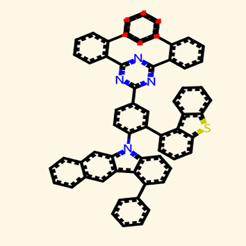 c1ccc(-c2ccccc2-c2nc(-c3ccc(-n4c5cc6ccccc6cc5c5c(-c6ccccc6)cccc54)c(-c4cccc5sc6ccccc6c45)c3)nc(-c3ccccc3-c3ccccc3)n2)cc1